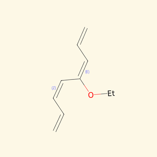 C=C/C=C\C(=C/C=C)OCC